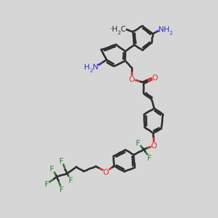 [CH2]c1cc(N)ccc1-c1ccc(N)cc1COC(=O)/C=C/c1ccc(OC(F)(F)c2ccc(OCCCC(F)(F)C(F)(F)F)cc2)cc1